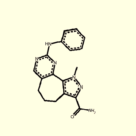 Cn1nc(C(N)=O)c2c1-c1nc(Nc3ccccc3)ncc1CCC2